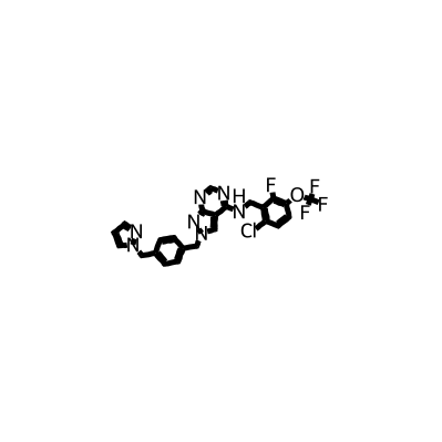 Fc1c(OC(F)(F)F)ccc(Cl)c1CNc1ncnc2nn(Cc3ccc(Cn4cccn4)cc3)cc12